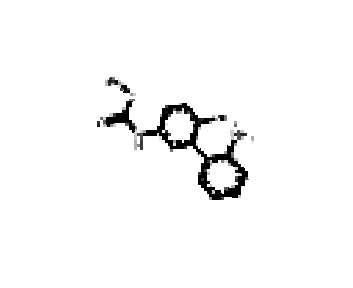 CC(C)(C)OC(=O)Nc1ccc(N)c(-c2ccccc2N)c1